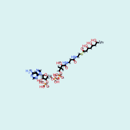 CCCC(O)CC(O)CC(O)CC(=O)SCCNC(=O)CCNC(=O)C(O)C(C)(C)COP(=O)(O)OP(=O)(O)OC[C@H]1O[C@@H](n2cnc3c(N)ncnc32)[C@H](O)[C@@H]1OP(=O)(O)O